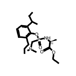 CCCc1cccc(C(C)CC)c1OP(=O)(CN(C)C)N[C@@H](C)C(=O)OCC